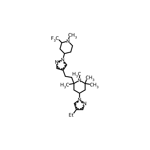 CCc1cnn(C2CC(C)(C)N(C)C(C)(CCc3cnn(C4CCN(C)C(C(F)(F)F)C4)c3)C2)c1